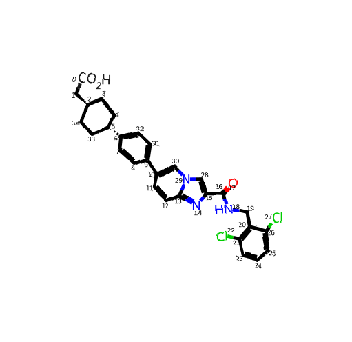 O=C(O)C[C@H]1CC[C@H](c2ccc(-c3ccc4nc(C(=O)NCc5c(Cl)cccc5Cl)cn4c3)cc2)CC1